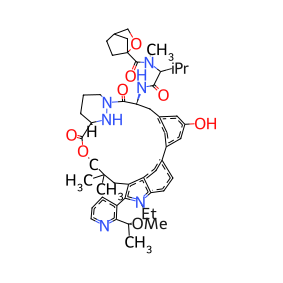 CCn1c(-c2cccnc2[C@H](C)OC)c2c3cc(ccc31)-c1cc(O)cc(c1)C[C@H](NC(=O)C(C(C)C)N(C)C(=O)C13CCC(CO1)C3)C(=O)N1CCC[C@H](N1)C(=O)OCC(C)(C)C2